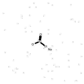 CC[N+](=O)[O-].[Na]